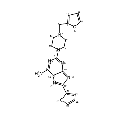 Nc1nc(N2CCN(Cc3ccco3)CC2)nc2nc(-c3ccco3)nn12